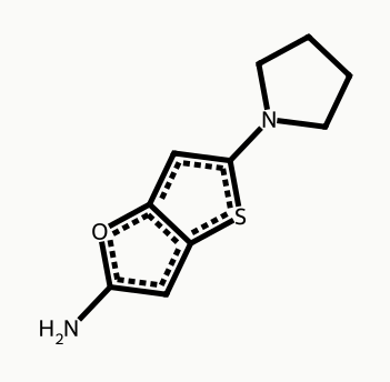 Nc1cc2sc(N3CCCC3)cc2o1